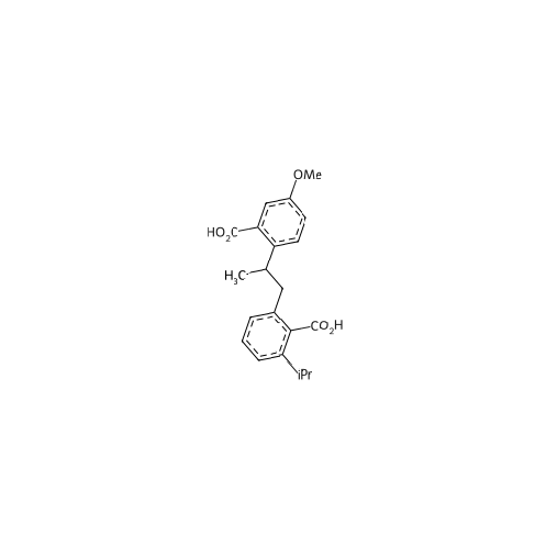 COc1ccc(C(C)Cc2cccc(C(C)C)c2C(=O)O)c(C(=O)O)c1